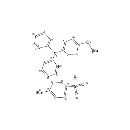 CC(C)(C)Oc1ccc([S+](c2ccccn2)c2ccccn2)cc1.CC(C)(C)c1ccc(S(=O)(=O)[O-])cc1